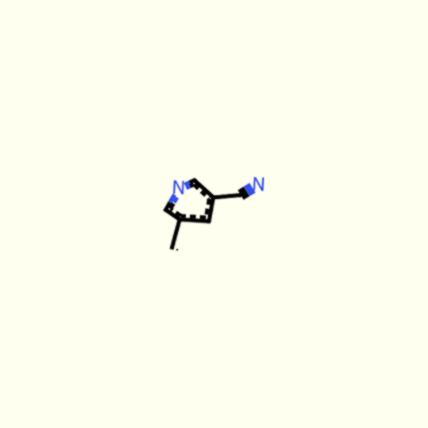 [CH2]c1cncc(C#N)c1